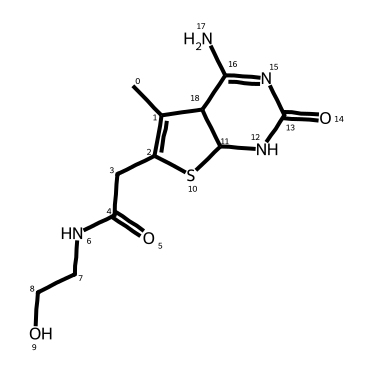 CC1=C(CC(=O)NCCO)SC2NC(=O)N=C(N)C12